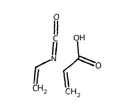 C=CC(=O)O.C=CN=C=O